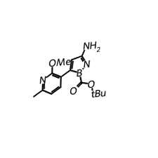 COc1nc(C)ccc1C1=CC(N)=NB1C(=O)OC(C)(C)C